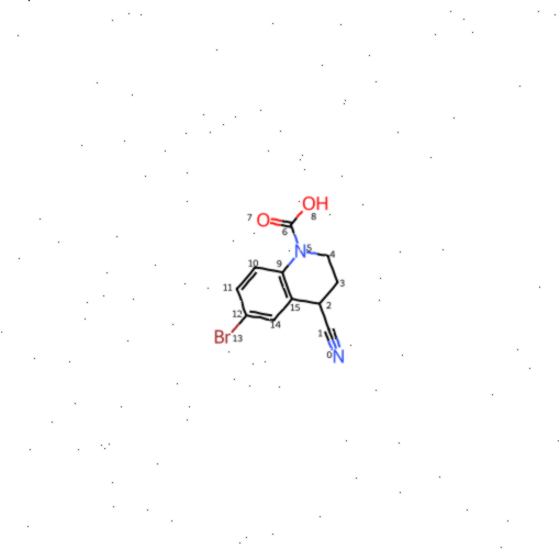 N#CC1CCN(C(=O)O)c2ccc(Br)cc21